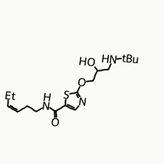 CC/C=C\CCNC(=O)c1cnc(OCC(O)CNC(C)(C)C)s1